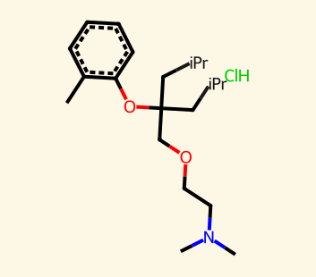 Cc1ccccc1OC(COCCN(C)C)(CC(C)C)CC(C)C.Cl